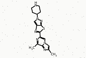 Cc1cn2cc(-c3nc4cn(C5CCNCC5)nc4s3)nc(C)c2n1